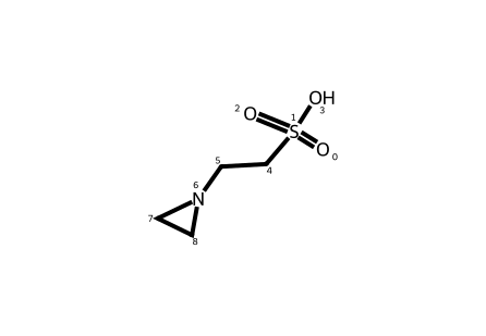 O=S(=O)(O)CCN1CC1